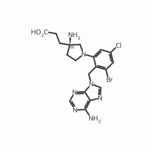 Nc1ncnc2c1ncn2Cc1c(Br)cc(Cl)cc1N1CC[C@](N)(CCC(=O)O)C1